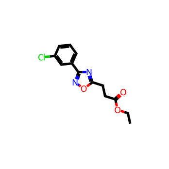 CCOC(=O)CCc1nc(-c2cccc(Cl)c2)no1